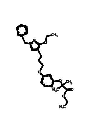 CCOC(=O)C(C)(C)Oc1cccc(OCCCc2cn(Cc3ccccc3)nc2OCC)c1